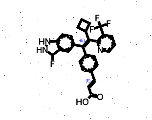 O=C(O)/C=C/c1ccc(/C(=C(\c2ncccc2C(F)(F)F)C2CCC2)c2ccc3c(c2)C(F)NN3)cc1